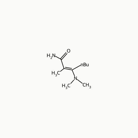 CCCCC(=C(C)C(N)=O)N(C)C